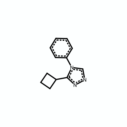 c1ccc(-n2cnnc2C2CCC2)cc1